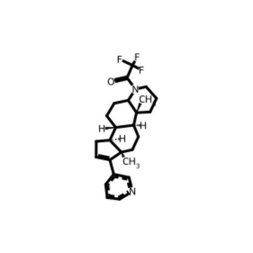 C[C@]12CCCN(C(=O)C(F)(F)F)C1CC[C@@H]1[C@@H]2CC[C@]2(C)C(c3cccnc3)=CC[C@@H]12